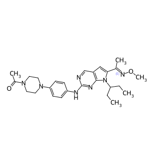 CCC(CC)n1c(/C(C)=N/OC)cc2cnc(Nc3ccc(N4CCN(C(C)=O)CC4)cc3)nc21